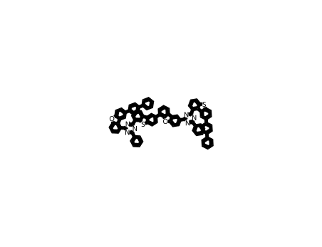 c1ccc(-c2ccc(-c3ccc4oc5cccc(-c6nc(-c7ccccc7)nc(-c7cccc8c7sc7ccc(-c9cccc%10c9oc9ccc(-c%11nc(-c%12ccccc%12)nc(-c%12cccc%13sc%14ccc(-c%15ccc(-c%16ccccc%16)cc%15)cc%14c%12%13)n%11)cc9%10)cc78)n6)c5c4c3)cc2)cc1